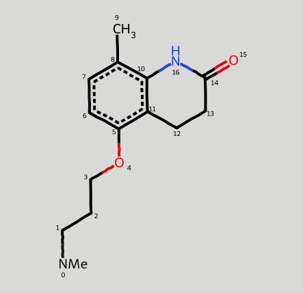 CNCCCOc1ccc(C)c2c1CCC(=O)N2